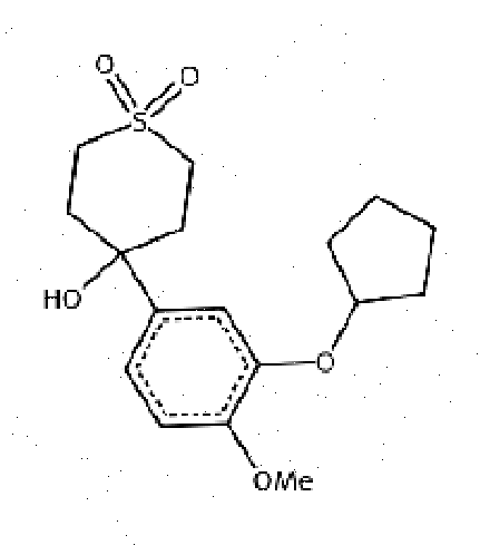 COc1ccc(C2(O)CCS(=O)(=O)CC2)cc1OC1CCCC1